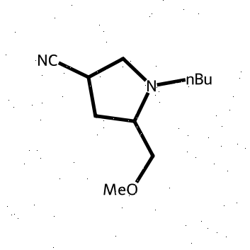 CCCCN1CC(C#N)CC1COC